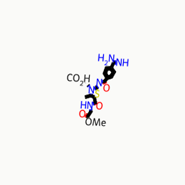 CC(=O)O.COC(=O)CNC(=O)C1SC(=NC(=O)c2ccc(C(=N)N)cc2)N(C)C1C